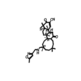 Cc1cc(CNC[C@@]2(C)CCC(C)(C)CCC3C(=O)C[C@@H]4[C@@]5(C)C=C(C#N)C(=O)C(C)(C)[C@@H]5CC[C@@]4(C)[C@]3(C)CC2)no1